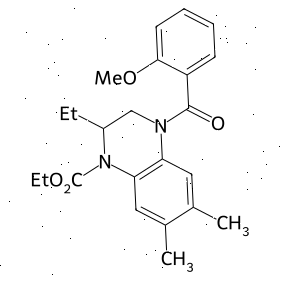 CCOC(=O)N1c2cc(C)c(C)cc2N(C(=O)c2ccccc2OC)CC1CC